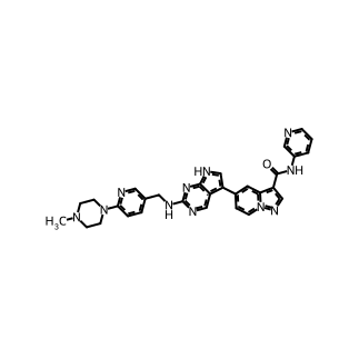 CN1CCN(c2ccc(CNc3ncc4c(-c5ccn6ncc(C(=O)Nc7cccnc7)c6c5)c[nH]c4n3)cn2)CC1